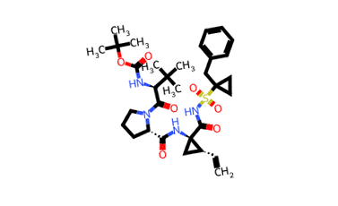 C=C[C@@H]1C[C@]1(NC(=O)[C@@H]1CCCN1C(=O)[C@@H](NC(=O)OC(C)(C)C)C(C)(C)C)C(=O)NS(=O)(=O)C1(Cc2ccccc2)CC1